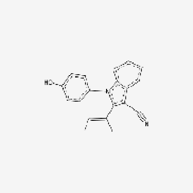 C/C=C(\C)c1c(C#N)c2ccccc2n1-c1ccc(O)cc1